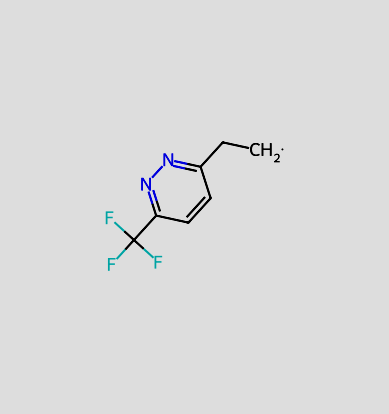 [CH2]Cc1ccc(C(F)(F)F)nn1